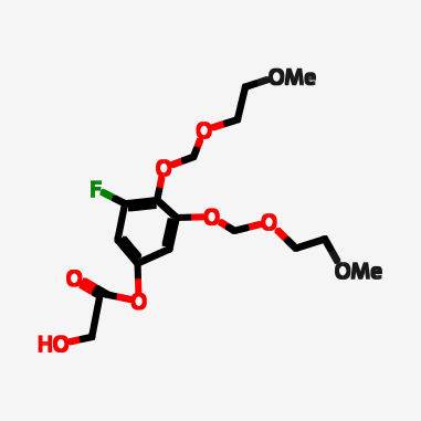 COCCOCOc1cc(OC(=O)CO)cc(F)c1OCOCCOC